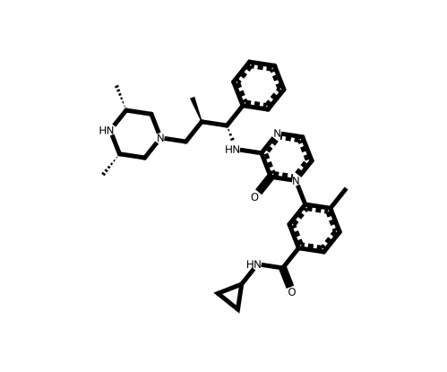 Cc1ccc(C(=O)NC2CC2)cc1-n1ccnc(N[C@@H](c2ccccc2)[C@H](C)CN2C[C@@H](C)N[C@@H](C)C2)c1=O